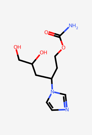 NC(=O)OCCC(CC(O)CO)n1ccnc1